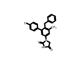 Cc1cc(N2CC(=O)NC2=S)cc(-c2ccc(Cl)cc2)c1Cc1ccccc1